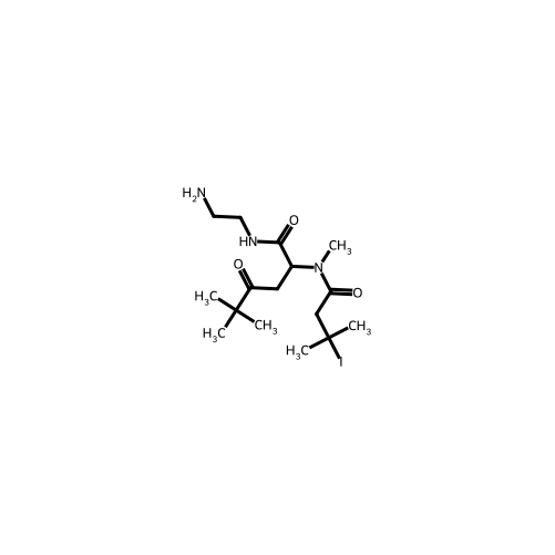 CN(C(=O)CC(C)(C)I)C(CC(=O)C(C)(C)C)C(=O)NCCN